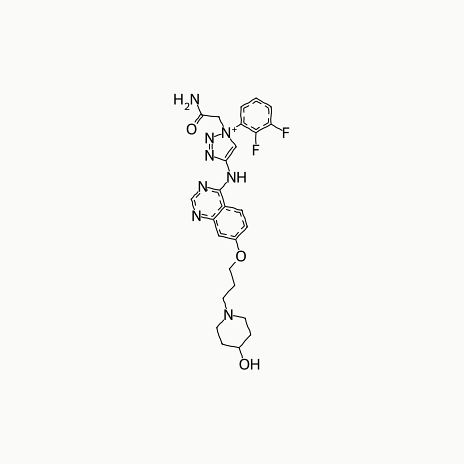 NC(=O)C[N+]1(c2cccc(F)c2F)C=C(Nc2ncnc3cc(OCCCN4CCC(O)CC4)ccc23)N=N1